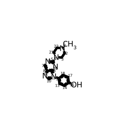 CN1CCN(c2ncc3ncn(-c4ccc(O)cc4)c3n2)CC1